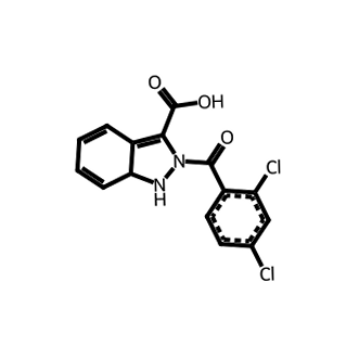 O=C(O)C1=C2C=CC=CC2NN1C(=O)c1ccc(Cl)cc1Cl